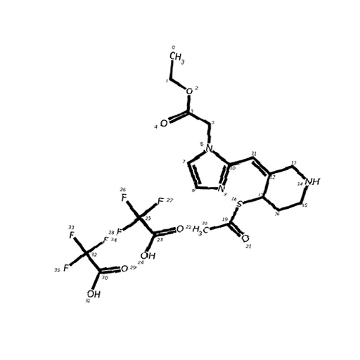 CCOC(=O)Cn1ccnc1/C=C1/CNCCC1SC(C)=O.O=C(O)C(F)(F)F.O=C(O)C(F)(F)F